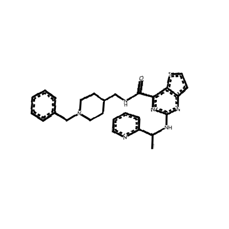 CC(Nc1nc(C(=O)NCC2CCN(Cc3ccccc3)CC2)c2sccc2n1)c1ccccn1